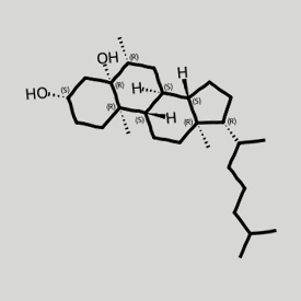 CC(C)CCCC(C)[C@H]1CC[C@H]2[C@@H]3C[C@@H](C)[C@]4(O)C[C@@H](O)CC[C@]4(C)[C@H]3CC[C@]12C